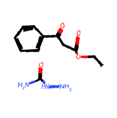 CCOC(=O)CC(=O)c1ccccc1.NNC(N)=O